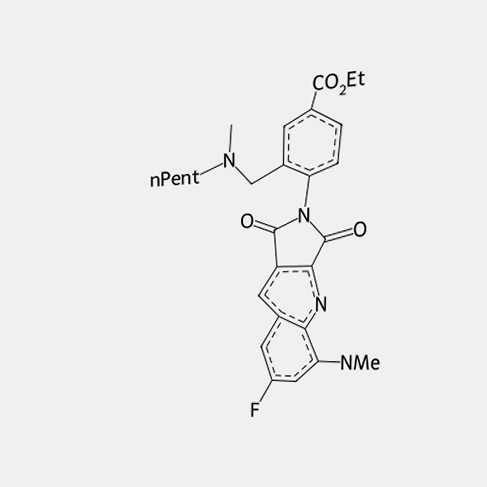 CCCCCN(C)Cc1cc(C(=O)OCC)ccc1N1C(=O)c2cc3cc(F)cc(NC)c3nc2C1=O